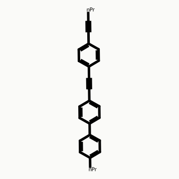 CCCC#Cc1ccc(C#Cc2ccc(-c3ccc(CCC)cc3)cc2)cc1